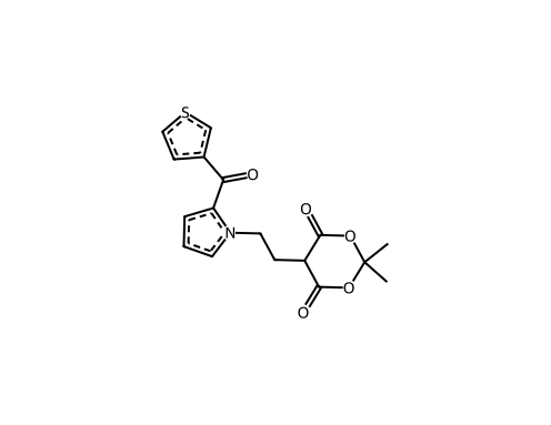 CC1(C)OC(=O)C(CCn2cccc2C(=O)c2ccsc2)C(=O)O1